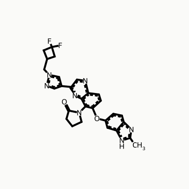 Cc1nc2ccc(Oc3ccc4ncc(-c5cnn(CC6CC(F)(F)C6)c5)nc4c3N3CCCC3=O)cc2[nH]1